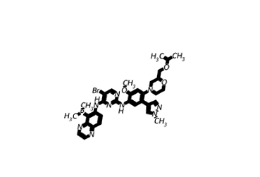 COc1cc(N2CCOC(COC(C)C)C2)c(-c2cnn(C)c2)cc1Nc1ncc(Br)c(Nc2ccc3nccnc3c2P(C)C)n1